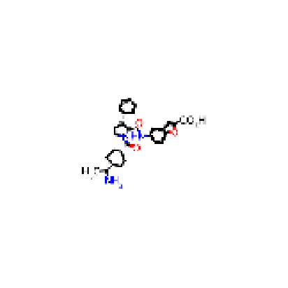 CC(N)[C@H]1CC[C@H](C(=O)N2CC[C@H](c3ccccc3)[C@H]2C(=O)Nc2ccc3oc(C(=O)O)cc3c2)CC1